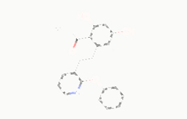 COC(=O)c1c(O)cc(O)c(Cl)c1CCc1cccnc1Oc1ccccc1